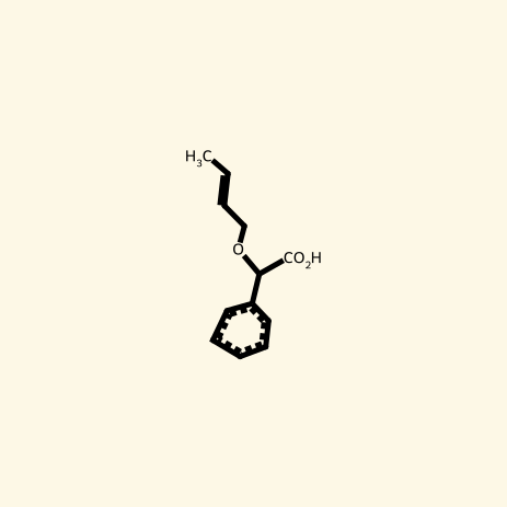 CC=CCOC(C(=O)O)c1ccccc1